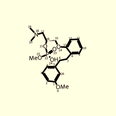 COc1cccc(CCc2ccccc2OC[C@@H](CN(C)C)OP(=O)(O)OC)c1